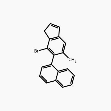 Cc1cc2c(c(Br)c1-c1cccc3ccccc13)CC=C2